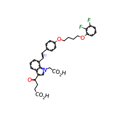 O=C(O)CCC(=O)c1cn(CC(=O)O)c2c(/C=C/c3ccc(OCCCCOc4cccc(F)c4F)cc3)cccc12